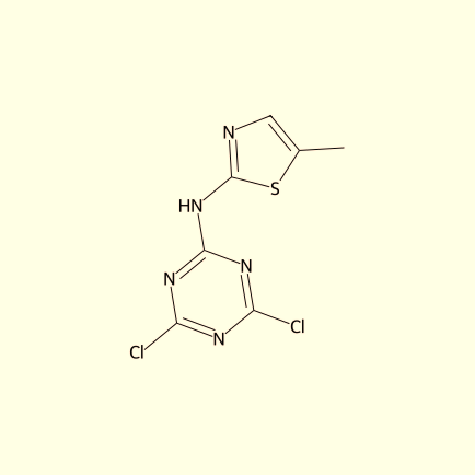 Cc1cnc(Nc2nc(Cl)nc(Cl)n2)s1